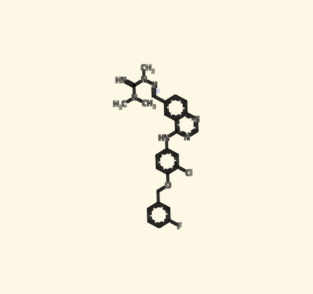 CN(C)C(=N)N(C)/N=C/c1ccc2ncnc(Nc3ccc(OCc4cccc(F)c4)c(Cl)c3)c2c1